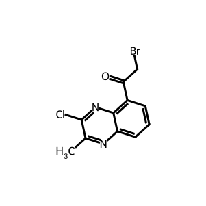 Cc1nc2cccc(C(=O)CBr)c2nc1Cl